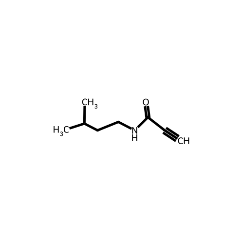 C#CC(=O)NCCC(C)C